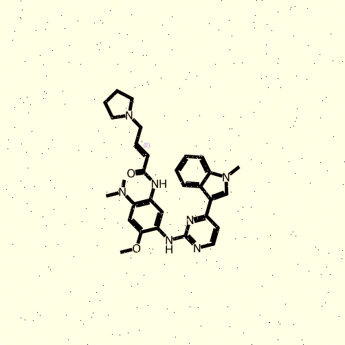 COc1cc(N(C)C)c(NC(=O)/C=C/CN2CCCC2)cc1Nc1nccc(-c2cn(C)c3ccccc23)n1